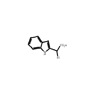 CCC(C(=O)O)c1cc2ccccc2[nH]1